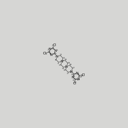 Clc1nc(Cl)nc(N2CC[N+]3(CC2)CC[N+]2(CCN(c4nc(Cl)nc(Cl)n4)CC2)CC3)n1